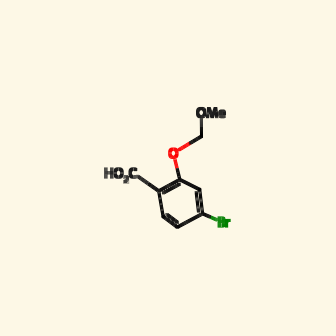 COCOc1cc(Br)ccc1C(=O)O